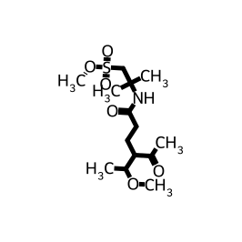 COC(C)C(CCC(=O)NC(C)(C)CS(=O)(=O)OC)C(C)=O